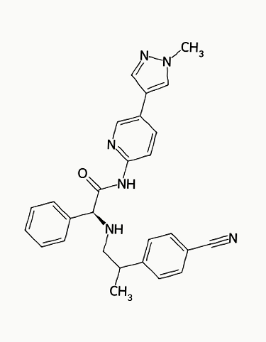 CC(CN[C@H](C(=O)Nc1ccc(-c2cnn(C)c2)cn1)c1ccccc1)c1ccc(C#N)cc1